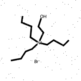 CCCC[N+](CCO)(CCCC)CCCC.[Br-]